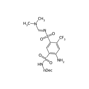 CCCCCCCCCCNS(=O)(=O)c1cc(S(=O)(=O)N=CN(C)C)c(C(F)(F)F)cc1N